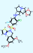 COc1ccc(CN(c2nccs2)S(=O)(=O)c2cc(Cl)c(NCC34CCCN3CC3(C4)OCCO3)cc2F)c(OC)c1